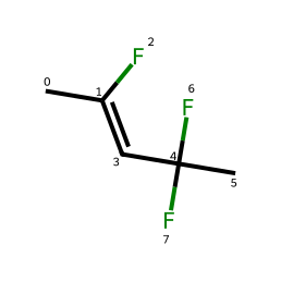 CC(F)=CC(C)(F)F